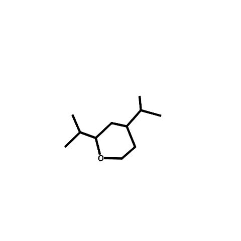 CC(C)C1CCOC(C(C)C)C1